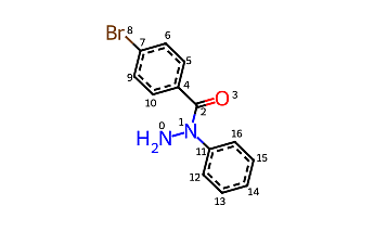 NN(C(=O)c1ccc(Br)cc1)c1ccccc1